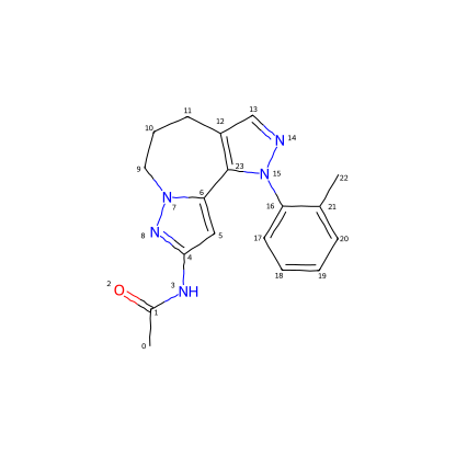 CC(=O)Nc1cc2n(n1)CCCc1cnn(-c3ccccc3C)c1-2